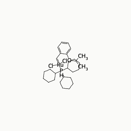 CC(C)Oc1ccccc1[CH]=[Ru]([Cl])([Cl])[PH](C1CCCCC1)(C1CCCCC1)C1CCCCC1